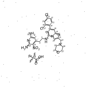 Nc1cc(CCNc2nc(-c3ccc(Cl)cc3Cl)cc3nc(CN4CCOCC4)cn23)c([N+](=O)[O-])c(N)n1.O=C(O)C(F)(F)F